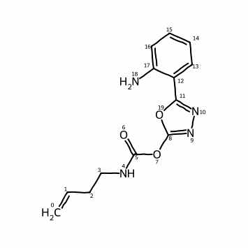 C=CCCNC(=O)Oc1nnc(-c2ccccc2N)o1